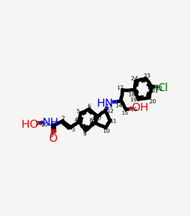 O=C(C=Cc1ccc2c(c1)CCC2NC(CO)Cc1ccc(Cl)cc1)NO